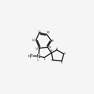 FN1CC2(CCCC2)c2ccccc21